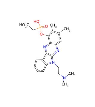 Cc1cc2nc3c(nc2c(OP(=O)(O)CC(=O)O)c1C)c1ccccc1n3CCN(C)C